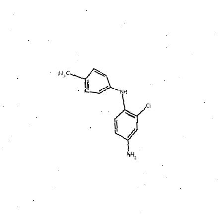 Cc1ccc(Nc2ccc(N)cc2Cl)cc1